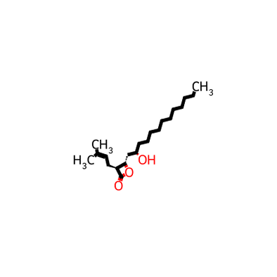 CCCCCCCCCCC[C@@H](O)C[C@@H]1OC(=O)[C@H]1CC=C(C)C